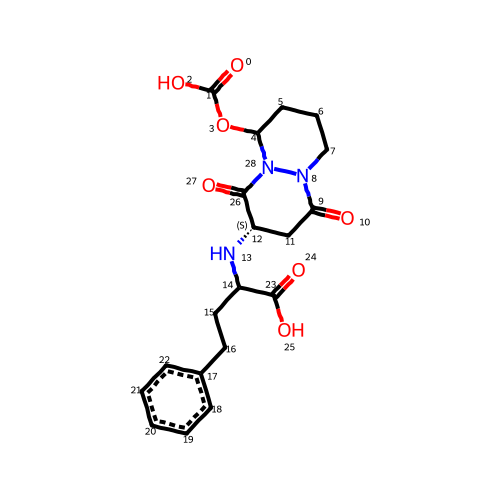 O=C(O)OC1CCCN2C(=O)C[C@H](NC(CCc3ccccc3)C(=O)O)C(=O)N12